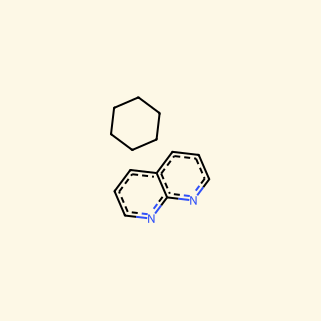 C1CCCCC1.c1cnc2ncccc2c1